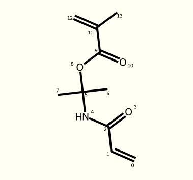 C=CC(=O)NC(C)(C)OC(=O)C(=C)C